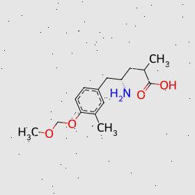 COCOc1ccc(C[C@@H](N)CC(C)C(=O)O)cc1C